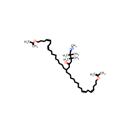 C=C(C)OCCC/C=C\C/C=C\CCCCCCCCC(CCCCCCCC/C=C\C/C=C\CCCOC(=C)C)CC(=O)CC(C)(C)C(C)(C)CNC